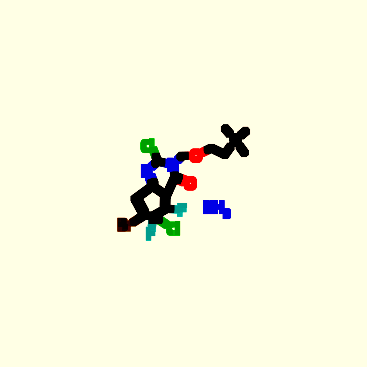 C[Si](C)(C)CCOCN1C(=O)C2=C(F)C(F)(Cl)C(Br)=CC2=NC1Cl.N